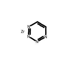 [Zr].c1cnnnn1